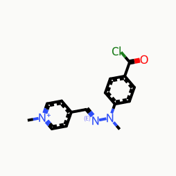 CN(/N=C/c1cc[n+](C)cc1)c1ccc(C(=O)Cl)cc1